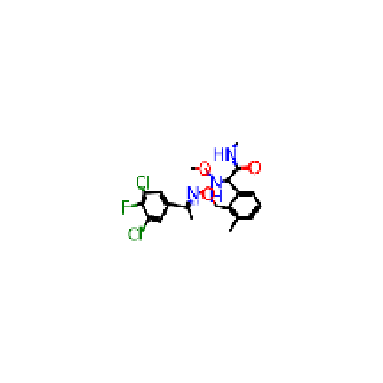 CNC(=O)C(NOC)c1cccc(C)c1CO/N=C(\C)c1cc(Cl)c(F)c(Cl)c1